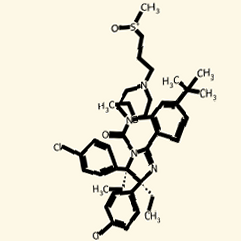 CCOc1cc(C(C)(C)C)ccc1C1=N[C@@](CC)(c2ccc(Cl)cc2)[C@@](CC)(c2ccc(Cl)cc2)N1C(=O)N1CCN(CCC[S+](C)[O-])CC1